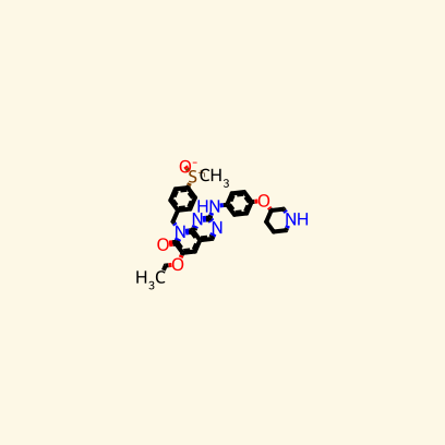 CCOc1cc2cnc(Nc3ccc(OC4CCCNC4)cc3)nc2n(Cc2ccc([S+](C)[O-])cc2)c1=O